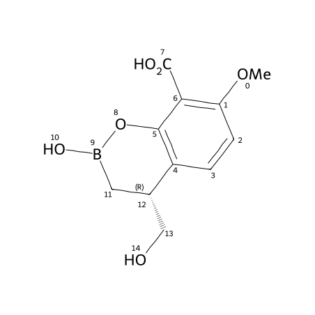 COc1ccc2c(c1C(=O)O)OB(O)C[C@H]2CO